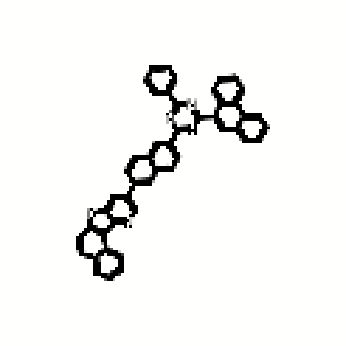 c1ccc(-c2nc(-c3ccc4cc(-c5cnc6c(c5)oc5ccc7ccccc7c56)ccc4c3)nc(-c3cc4ccccc4c4ccccc34)n2)cc1